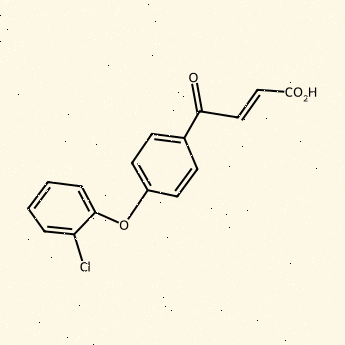 O=C(O)C=CC(=O)c1ccc(Oc2ccccc2Cl)cc1